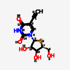 C#Cc1cn([C@@H]2S[C@H](CO)[C@@H](O)[C@@H]2O)c(=O)[nH]c1=O